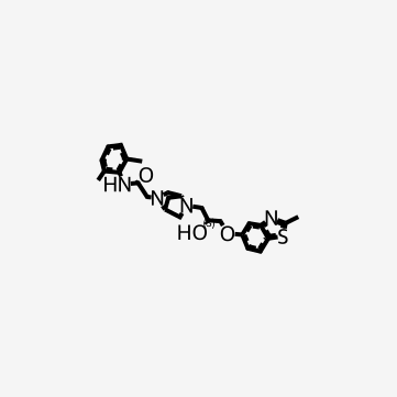 Cc1nc2cc(OC[C@@H](O)CN3CC4CC3CN4CC(=O)Nc3c(C)cccc3C)ccc2s1